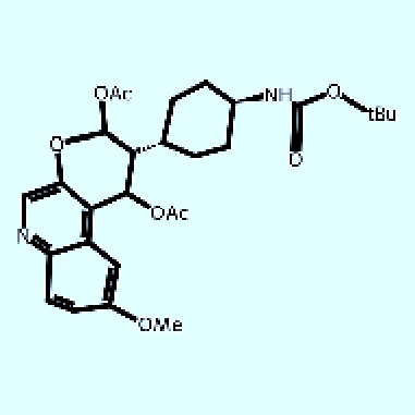 COc1ccc2ncc3c(c2c1)C(OC(C)=O)C([C@H]1CC[C@H](NC(=O)OC(C)(C)C)CC1)C(OC(C)=O)O3